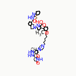 CNc1cc(N2CCN(CCCCCCOc3cccc(-c4ccc(N5CCc6cccc(C(=O)Nc7nc8ccccc8s7)c6C5)nc4C(=O)O)c3C)CC2)ccc1C(=N)C1CCC(=O)NC1=O